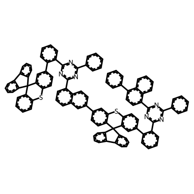 c1ccc(-c2nc(-c3ccccc3-c3ccc4c(c3)C3(c5ccccc5S4)c4ccccc4-c4ccccc43)nc(-c3cccc4cc(-c5ccc6c(c5)Sc5ccc(-c7ccccc7-c7nc(-c8ccccc8)nc(-c8ccc(-c9ccccc9)c9ccccc89)n7)cc5C65c6ccccc6-c6ccccc65)ccc34)n2)cc1